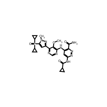 COc1c(Nc2cc(NC(=O)C3CC3)nnc2C(N)=O)ncnc1-c1cc(P(=O)(C2CC2)C2CC2)n(C)n1